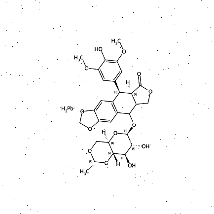 COc1cc([C@@H]2c3cc4c(cc3C(O[C@@H]3O[C@@H]5CO[C@@H](C)O[C@H]5[C@H](O)[C@H]3O)C3COC(=O)[C@@H]32)OCO4)cc(OC)c1O.[PbH2]